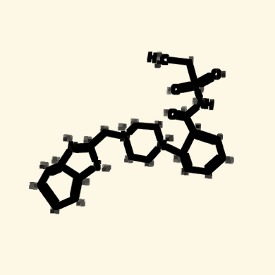 CCS(=O)(=O)NC(=O)c1ccccc1N1CCN(Cc2nc3ccccc3s2)CC1